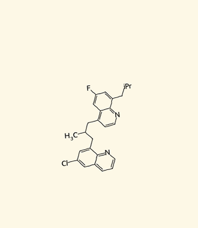 CC(C)Cc1cc(F)cc2c(CC(C)Cc3cc(Cl)cc4cccnc34)ccnc12